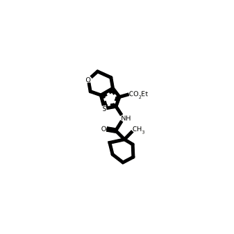 CCOC(=O)c1c(NC(=O)C2(C)CCCCC2)sc2c1CCOC2